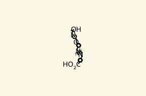 C[C@@H]1CN(Cc2ccc(C(=O)O)cc2)C[C@H](C)N1Cc1cccc(OCC2CCN(CC(C)(C)O)CC2)c1